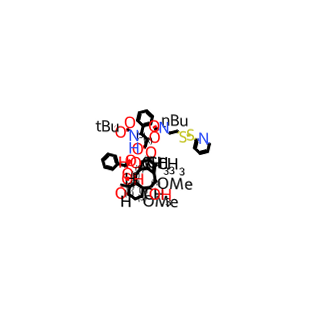 CCCCN(CCSSc1ccccn1)C(=O)O[C@@H](C(=O)O[C@H]1C[C@@]2(O)[C@@H](OC(=O)c3ccccc3)[C@@H]3[C@]4(O)CO[C@@H]4C[C@H](OC)[C@@]3(C)C(O)[C@H](OC)C(=C1C)C2(C)C)[C@@H](NC(=O)OC(C)(C)C)c1ccccc1